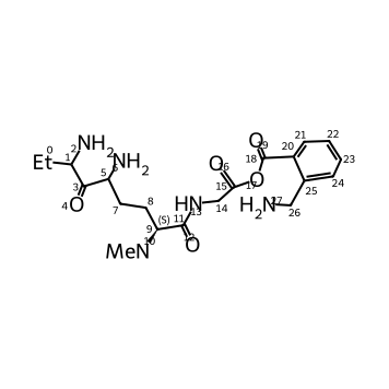 CCC(N)C(=O)C(N)CC[C@H](NC)C(=O)NCC(=O)OC(=O)c1ccccc1CN